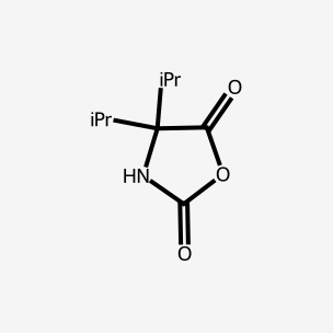 CC(C)C1(C(C)C)NC(=O)OC1=O